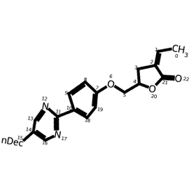 CC=C1CC(COc2ccc(-c3ncc(CCCCCCCCCC)cn3)cc2)OC1=O